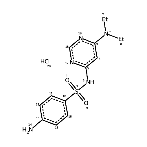 CCN(CC)c1cc(NS(=O)(=O)c2ccc(N)cc2)ncn1.Cl